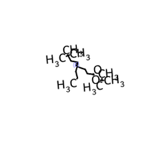 CCC/C(=C\CC(C)(C)C)CCC(=O)OC(C)(C)C